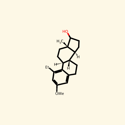 CCc1cc(OC)cc2c1[C@H]1CC[C@]3(C)C(O)CC[C@H]3[C@@H]1CC2